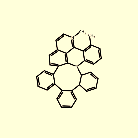 Cc1cccc2c1-c1c3c4c(ccc3cc[n+]1C)-c1ccccc1-c1ccccc1C1C=CC=CC1N24